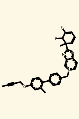 CC#CCOc1ccc(-c2ccc(Cn3ccc4nc(C5(C)C=CC=C(F)C5F)nc-4c3)cc2)c(C)c1